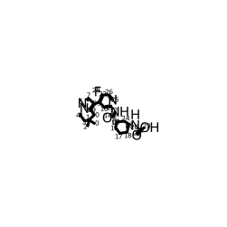 CC1(C)CCn2ncc(-c3cc(NC(=O)[C@H]4CCC[C@@H](NC(=O)O)C4)ncc3F)c2C1